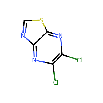 Clc1nc2ncsc2nc1Cl